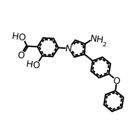 Nc1cn(-c2ccc(C(=O)O)c(O)c2)cc1-c1ccc(Oc2ccccc2)cc1